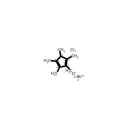 CC1=C(C)C(C)C(C)=C1C.[Cl-].[Cl-].[Rh+2]